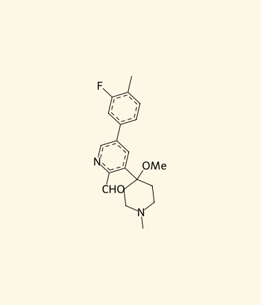 COC1(c2cc(-c3ccc(C)c(F)c3)cnc2C=O)CCN(C)CC1